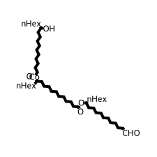 CCCCCCC(O)CCCCCCCCC[CH2][Co](=[O])[CH](CCCCCC)CCCCCCCCCCC(=O)OC(CCCCCC)CCCCCCCCCCC=O